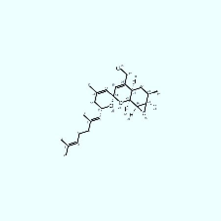 CC(C)=CCC/C(C)=C/[C@@H]1CC(C)=C[C@]2(C=C(CCl)[C@H]3C[C@@H](C)[C@@]4(C)O[C@H]4[C@H]3O2)O1